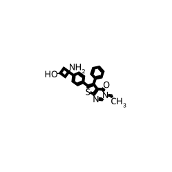 CCn1cnc2sc(-c3ccc([C@]4(N)C[C@H](O)C4)cc3)c(-c3ccccc3)c2c1=O